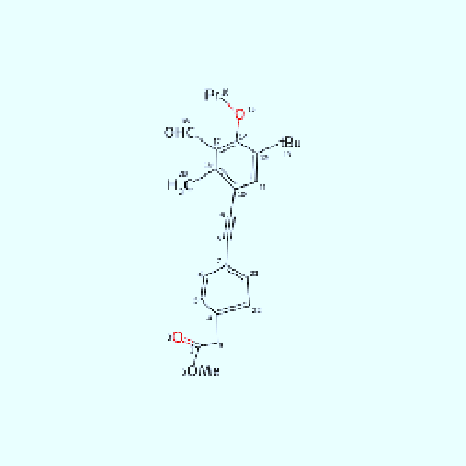 COC(=O)Cc1ccc(C#Cc2cc(C(C)(C)C)c(OC(C)C)c(C=O)c2C)cc1